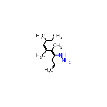 C=CC/C(NN)=C(C)\C(C)=C/[C@@H](C)CC